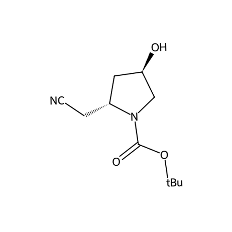 CC(C)(C)OC(=O)N1C[C@H](O)C[C@H]1CC#N